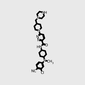 CN(c1ccc(C#N)c(Cl)c1)C1CCC(NC(=O)c2ccc(N3CCC(CN4CCNCC4)CC3)nn2)CC1